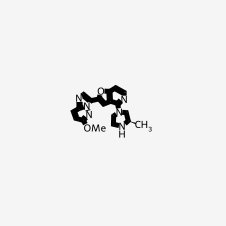 COc1ccc2ncc(-c3cc4c(N5CCN[C@@H](C)C5)nccc4o3)n2n1